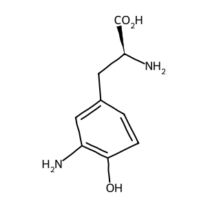 Nc1cc(C[C@H](N)C(=O)O)ccc1O